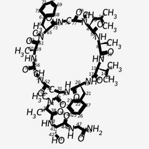 CC(C)C[C@H]1C(=O)N[C@@H](C)C(=O)N[C@@H](C(C)C)C(=O)N[C@@H](Cc2ccccc2)C(=O)N[C@H](C(=O)N(C)[C@@H](C)C(=O)N[C@@H](CO)C(=O)NCC(N)=O)CC(=O)NCC(=O)N[C@@H](C)C(=O)N(C)[C@@H](Cc2ccccc2)C(=O)NCC(=O)N1C